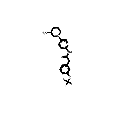 CC1CCCN(c2ccc(NC(=O)Cc3cccc(OC(F)(F)F)c3)nc2)C1